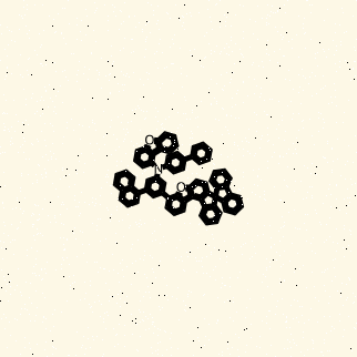 c1ccc(-c2ccc(N(c3cc(-c4cccc5ccccc45)cc(-c4cccc5c4oc4ccc6c(c45)-c4ccccc4C64c5ccccc5-c5ccccc54)c3)c3cccc4oc5ccccc5c34)cc2)cc1